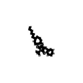 CCCCCCC1CCCC(SC2=C(SC3CCCCCC3)C(=O)N(C(C)C)C2=O)CCC1